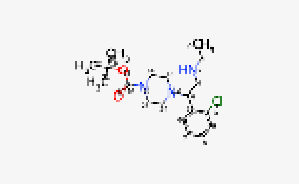 CCNCC(c1ccccc1Cl)N1CCN(C(=O)OC(C)(C)C)CC1